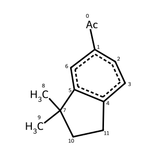 CC(=O)c1ccc2c(c1)C(C)(C)CC2